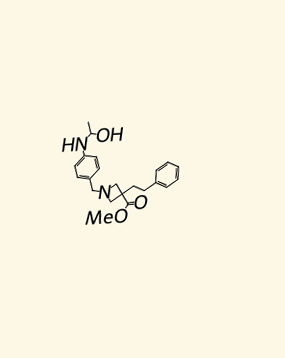 COC(=O)C1(CCc2ccccc2)CN(Cc2ccc(NC(C)O)cc2)C1